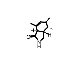 CC1=C[C@@H](C)[C@H](C)[C@@H]2CNC(=O)[C@@H]12